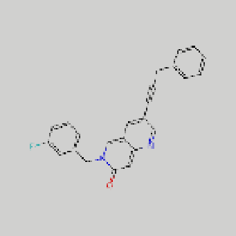 O=c1cc2ncc(C#CCc3ccccc3)cc2cn1Cc1cccc(F)c1